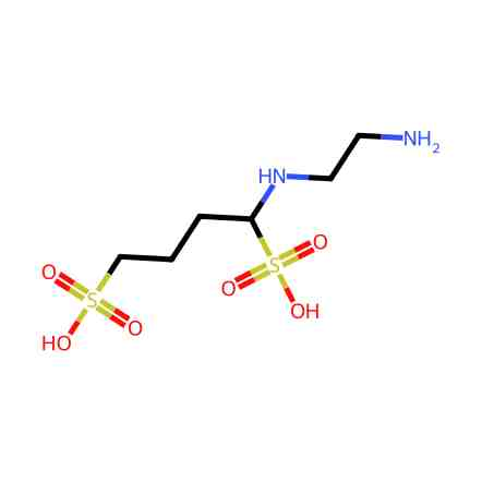 NCCNC(CCCS(=O)(=O)O)S(=O)(=O)O